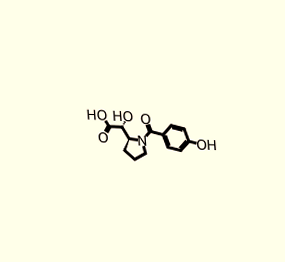 O=C(O)[C@H](O)[C@@H]1CCCN1C(=O)c1ccc(O)cc1